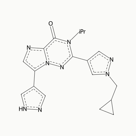 CC(C)n1c(-c2cnn(CC3CC3)c2)nn2c(-c3cn[nH]c3)cnc2c1=O